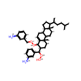 CC(C)CCC(C)C1CCC2C3CC=C4C(OOCc5cccc(N)c5)C(C(OO)c5cccc(N)c5)CCC4(C)C3CCC12C